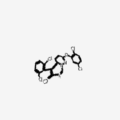 O=c1ncn2nc(Oc3cc(Cl)ccc3Cl)ccc2c1-c1c(Cl)cccc1Cl